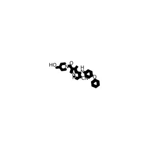 Cc1c(C(=O)N2CCC(CO)CC2)cn2ncc(C#N)c(Nc3ccc(Oc4ccccc4)cc3)c12